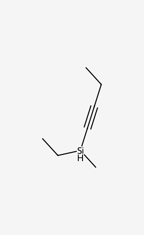 CCC#C[SiH](C)CC